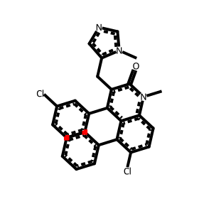 Cn1cncc1Cc1c(-c2cccc(Cl)c2)c2c(-c3ccccc3)c(Cl)ccc2n(C)c1=O